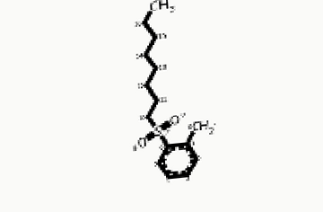 [CH2]c1ccccc1S(=O)(=O)CCCCCCCC